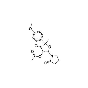 COc1ccc(C2(C)OC(N3CCCC3=O)=C(OC(C)=O)C2=O)cc1